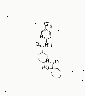 O=C(Nc1ccc(C(F)(F)F)cn1)C1CCCN(C(=O)C2(O)CCCCC2)C1